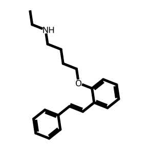 CCNCCCCOc1ccccc1C=Cc1ccccc1